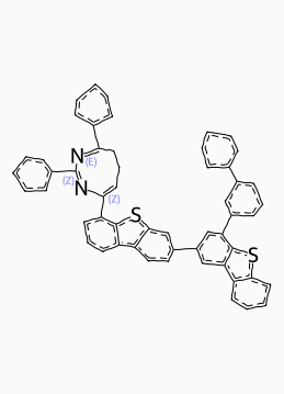 C1=C(c2cccc3c2sc2cc(-c4cc(-c5cccc(-c6ccccc6)c5)c5sc6ccccc6c5c4)ccc23)/N=C(c2ccccc2)\N=C(\c2ccccc2)CC\1